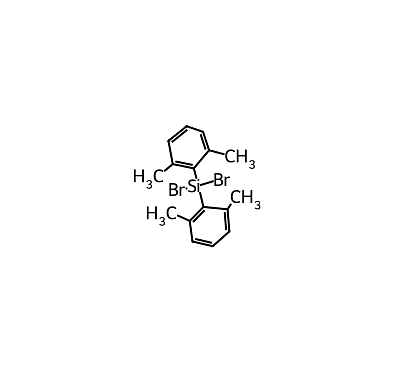 Cc1cccc(C)c1[Si](Br)(Br)c1c(C)cccc1C